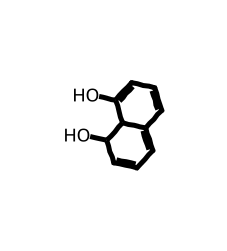 OC1=CC=CC2=CC=CC(O)C12